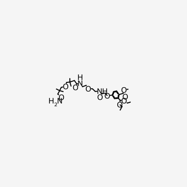 CCOC(OCC)c1cc(OCC(=O)NCCOCCNC(=O)CC(C)(C)COCC(C)(C)CON)ccc1C(=O)OC